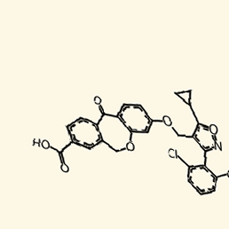 O=C(O)c1ccc2c(c1)COc1cc(OCc3c(-c4c(Cl)cccc4Cl)noc3C3CC3)ccc1C2=O